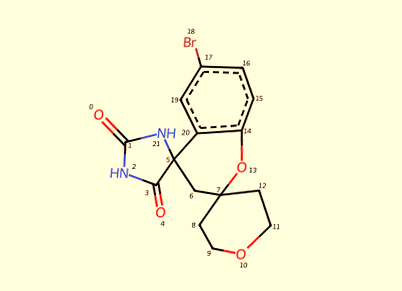 O=C1NC(=O)C2(CC3(CCOCC3)Oc3ccc(Br)cc32)N1